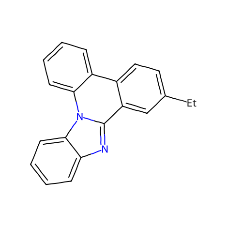 CCc1ccc2c3ccccc3n3c4ccccc4nc3c2c1